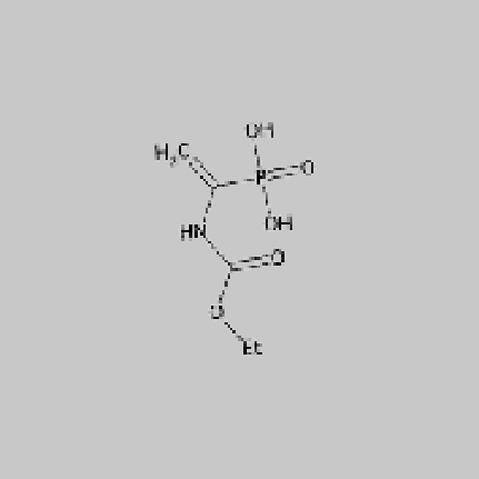 C=C(NC(=O)OCC)P(=O)(O)O